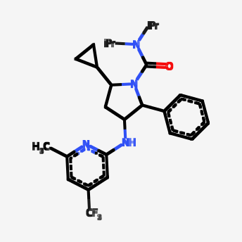 Cc1cc(C(F)(F)F)cc(NC2CC(C3CC3)N(C(=O)N(C(C)C)C(C)C)C2c2ccccc2)n1